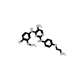 CCCOc1ccc(Nc2ncc(C)c(Nc3ccc(Cl)c(OC)c3)n2)cc1